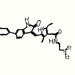 CCN(CC)CCNC(=O)c1c(C)[nH]c(/C=C2\C(=O)Nc3cc(-c4ccccc4)ccc32)c1C